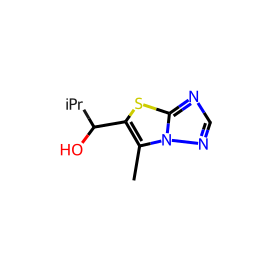 Cc1c(C(O)C(C)C)sc2ncnn12